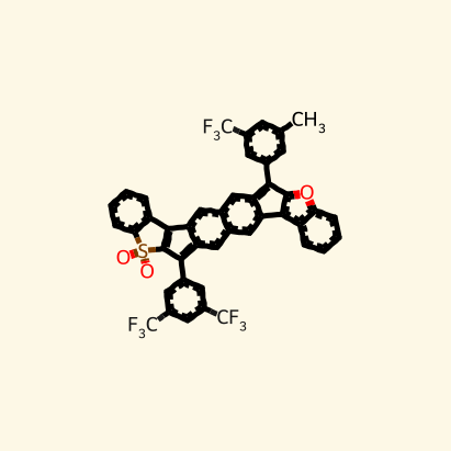 Cc1cc(C2=c3cc4cc5c(cc4cc3-c3c2oc2ccccc32)=C(c2cc(C(F)(F)F)cc(C(F)(F)F)c2)C2=C5c3ccccc3S2(=O)=O)cc(C(F)(F)F)c1